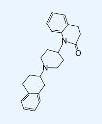 O=C1CCc2ccccc2N1C1CCN(C2CCc3ccccc3C2)CC1